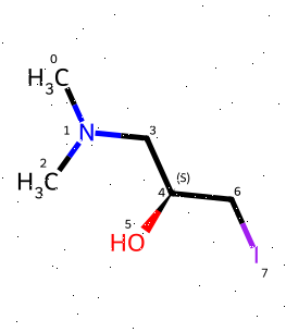 CN(C)C[C@H](O)CI